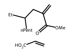 C=C(CC(CC)CCCCC)C(=O)OC.C=CC(=O)O